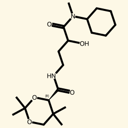 CN(C(=O)C(O)CCNC(=O)[C@@H]1OC(C)(C)OCC1(C)C)C1CCCCC1